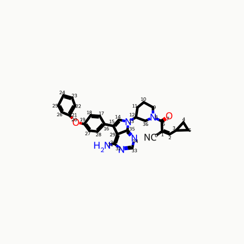 N#C/C(=C/C1CC1)C(=O)N1CCCC(n2cc(-c3ccc(Oc4ccccc4)cc3)c3c(N)ncnc32)C1